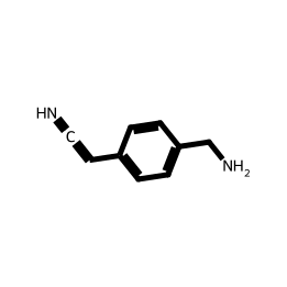 N=C=Cc1ccc(CN)cc1